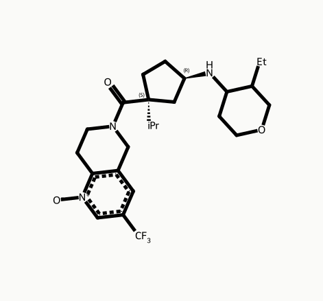 CCC1COCCC1N[C@@H]1CC[C@@](C(=O)N2CCc3c(cc(C(F)(F)F)c[n+]3[O-])C2)(C(C)C)C1